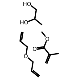 C=C(C)C(=O)OC.C=CCOCC=C.CC(O)CO